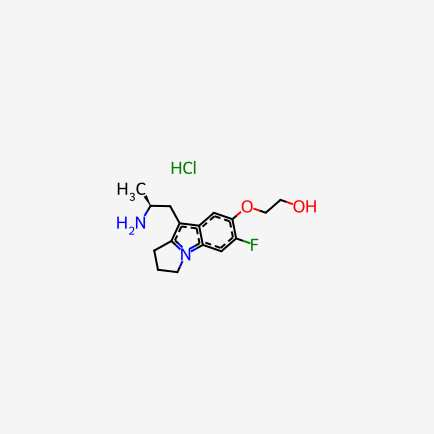 C[C@H](N)Cc1c2n(c3cc(F)c(OCCO)cc13)CCC2.Cl